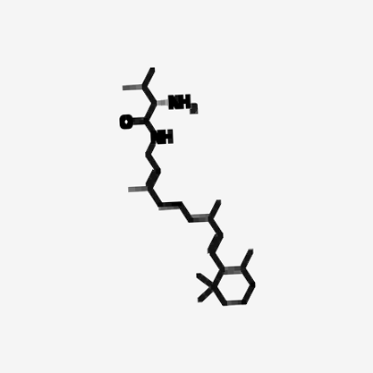 CC(C=CC1=C(C)CCCC1(C)C)=CC=CC(C)=CCNC(=O)[C@@H](N)C(C)C